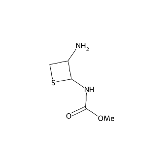 COC(=O)NC1SCC1N